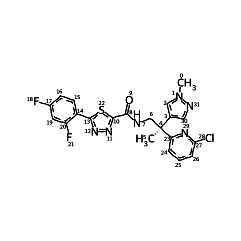 Cn1cc([C@](C)(CNC(=O)c2nnc(-c3ccc(F)cc3F)s2)c2cccc(Cl)n2)cn1